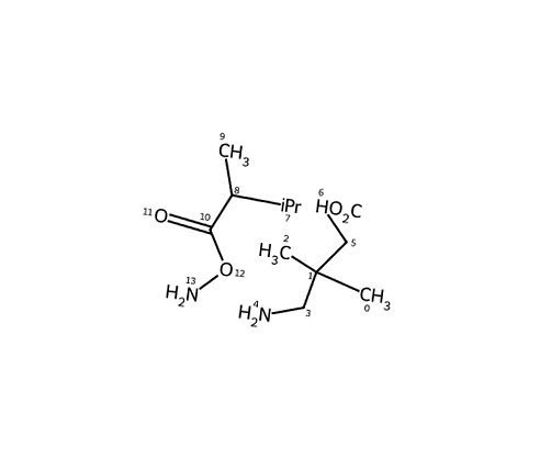 CC(C)(CN)CC(=O)O.CC(C)C(C)C(=O)ON